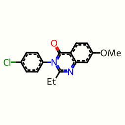 CCc1nc2cc(OC)ccc2c(=O)n1-c1ccc(Cl)cc1